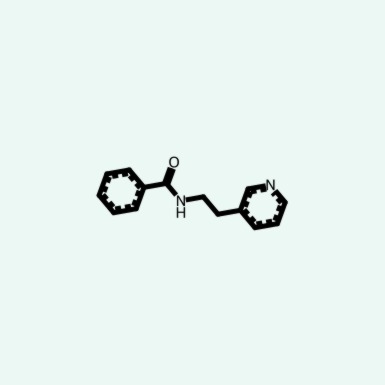 O=C(NCCc1cccnc1)c1ccccc1